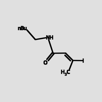 CCCCCNC(=O)/C=C(\C)I